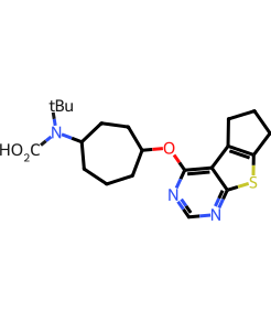 CC(C)(C)N(C(=O)O)C1CCCC(Oc2ncnc3sc4c(c23)CCC4)CC1